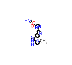 Cc1cccc(-c2[nH]cnc2-c2ccc3ncc(-c4nccc(C(=O)OC5CNC5)n4)cc3c2)n1